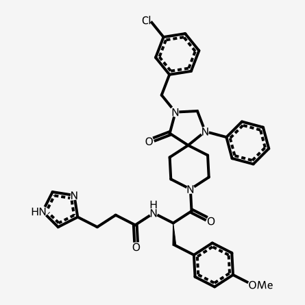 COc1ccc(C[C@@H](NC(=O)CCc2c[nH]cn2)C(=O)N2CCC3(CC2)C(=O)N(Cc2cccc(Cl)c2)CN3c2ccccc2)cc1